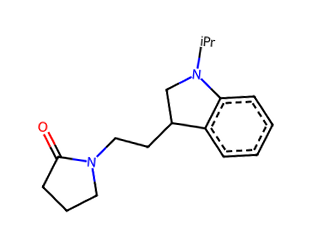 CC(C)N1CC(CCN2CCCC2=O)c2ccccc21